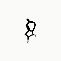 CC1=CCC2NC(=O)CC2=C1